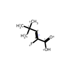 CC(C)(C)/C=C(\F)C(=O)O